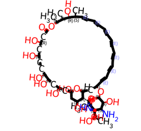 C[C@@H]1[C@H](O)[C@@H](C)/C=C/C=C/C=C/C=C/C=C/C=C/C=C/[C@H](O[C@@H]2O[C@H](C)[C@@H](O)[C@H](N)[C@@H]2O)C[C@@H]2O[C@](O)(C[C@@H](O)C[C@@H](O)[C@H](O)CC[C@@H](O)C[C@@H](O)CC(=O)O[C@H]1C)C[C@H](O)[C@H]2C(=O)NC[C@@H](C)O